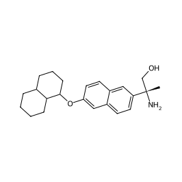 C[C@](N)(CO)c1ccc2cc(OC3CCCC4CCCCC43)ccc2c1